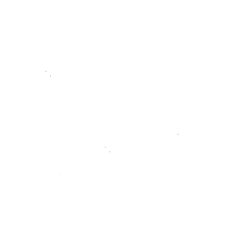 Cc1cnc(-c2cnc(OCC3CCC(=O)N3)c3cc(OC(C)C)c(C(N)=O)cc23)o1